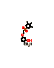 Cc1cc(S(=O)(=O)CCOc2ccc(C(=O)O)c(O)c2)cc(C)c1C